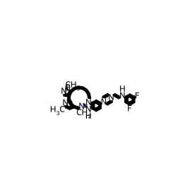 C=C1/N=C2\Nc3ccc(N4CCN(CCNc5cc(F)cc(F)c5)CC4)cc3N2CCCCCCc2c(cnn2C)-c2cc1cc(C)n2